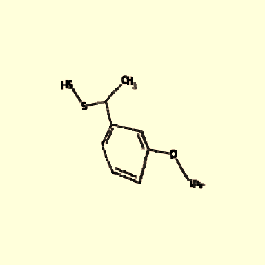 CC(C)Oc1cccc(C(C)SS)c1